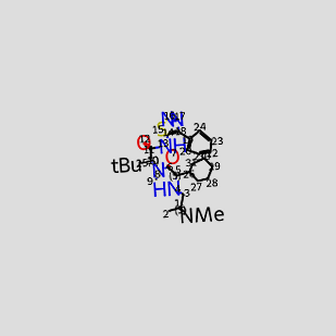 CN[C@@H](C)CN[C@H](C(=O)N(C)[C@H](C(=O)Nc1snnc1-c1ccccc1)C(C)(C)C)C1CCCCC1